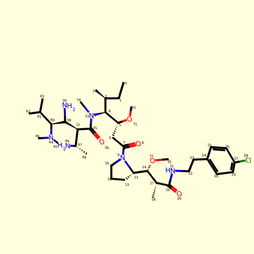 CC[C@H](C)[C@@H]([C@@H](CC(=O)N1CCC[C@H]1[C@H](OC)[C@@H](C)C(=O)NCCc1ccc(Cl)cc1)OC)N(C)C(=O)[C@H](C(N)[C@H](C(C)C)N(C)C)[C@H](C)N